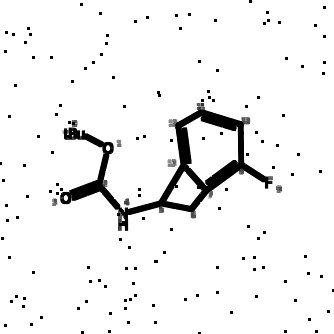 CC(C)(C)OC(=O)NC1Cc2c(F)cccc21